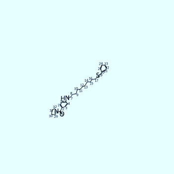 O=C(c1ccc(NCCCCCCCCCCCSCc2ccccc2)cc1)N1CCCC1